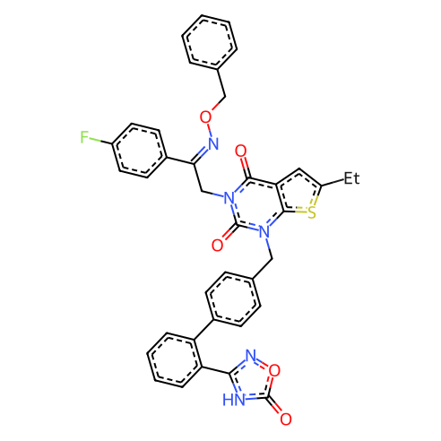 CCc1cc2c(=O)n(CC(=NOCc3ccccc3)c3ccc(F)cc3)c(=O)n(Cc3ccc(-c4ccccc4-c4noc(=O)[nH]4)cc3)c2s1